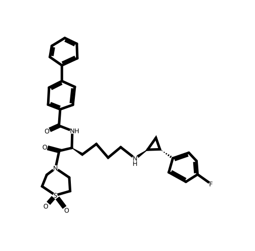 O=C(N[C@@H](CCCCN[C@H]1C[C@@H]1c1ccc(F)cc1)C(=O)N1CCS(=O)(=O)CC1)c1ccc(-c2ccccc2)cc1